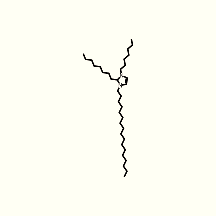 CCCCCCCCCCCCCCCCCN1C=CN(CCCCCCC)C1CCCCCCCC